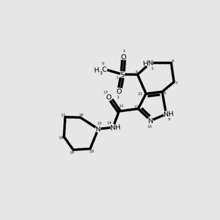 CS(=O)(=O)C1NCCc2[nH]nc(C(=O)NN3CCCCC3)c21